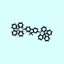 CC1(C)c2cc(N3c4ccccc4C(c4ccccc4)(c4ccccc4)c4ccccc43)ccc2-c2ccc(N3c4ccccc4[Si](c4ccccc4)(c4ccccc4)c4ccccc43)cc21